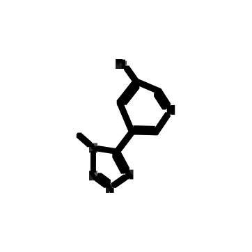 CCc1cncc(-c2nnnn2C)c1